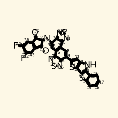 O=c1c(=Nc2cc3c(cc(-c4cc5[nH]c6c7ccccc7sc6c5s4)c4nsnc43)c3nsnc23)c(=O)c2cc(F)c(F)cc12